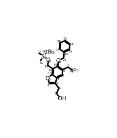 CC(C)Cc1cc2c(CCO)coc2c(CO[Si](C)(C)C(C)(C)C)c1OCc1ccccc1